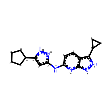 c1cc2c(C3CC3)[nH]nc2nc1Nc1cc(C2CCCC2)[nH]n1